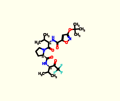 CC(C)[C@H](NC(=O)c1cc(OC(C)(C)C)no1)C(=O)N1CCC[C@H]1C(=O)N[C@H](C(=O)C(F)(F)F)C(C)C